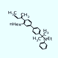 C=C(/C=C\C)c1ccc(-c2ccc(C(C)(C)N(CC)c3ccccc3)cc2)cc1CCCCCC